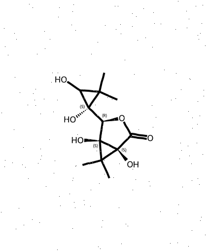 CC1(C)C(O)[C@]1(O)[C@H]1OC(=O)[C@]2(O)C(C)(C)[C@]12O